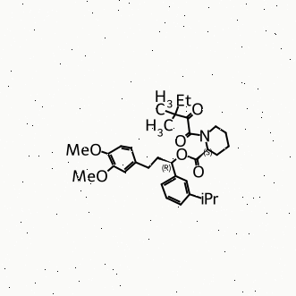 CCC(C)(C)C(=O)C(=O)N1CCCC[C@H]1C(=O)O[C@H](CCc1ccc(OC)c(OC)c1)c1cccc(C(C)C)c1